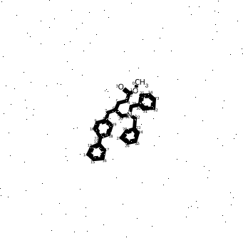 COC(=O)CCC(Cc1ccc(-c2ccccc2)cc1)CN(Cc1ccccc1)Cc1ccccc1